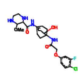 COC1NCCNC1C(=O)NC12CCC(NC(=O)COc3ccc(Cl)c(F)c3)(CC1)C(O)C2